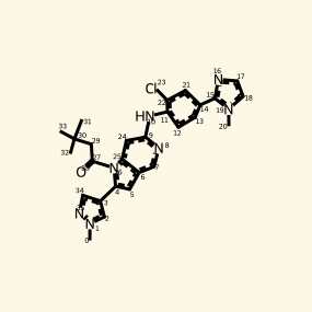 Cn1cc(-c2cc3cnc(Nc4ccc(-c5nccn5C)cc4Cl)cc3n2C(=O)CC(C)(C)C)cn1